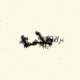 C/N=C/[C@H]1CC(F)(F)CN1C(=O)CNC(=O)c1ccnc2ccc(OCCCC3CCN(C(=O)CCCCCNC(=O)C(CSCCNC(=O)CCCc4ccc(I)cc4)NC(=O)CN4CCN(CC(=O)O)CCN(CC(=O)O)CCN(CC(=O)O)CC4)CC3)cc12